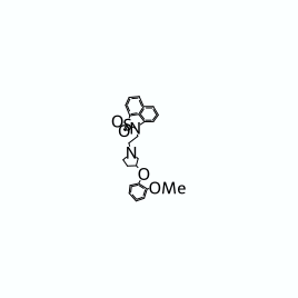 COc1ccccc1OC1CCN(CCN2c3cccc4cccc(c34)S2(=O)=O)C1